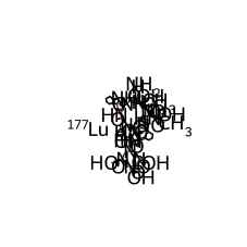 CC(O)C(NC(=O)C1CSSCC(NC(=O)C(Cc2ccccc2)NC(=O)CN2CCN(CC(=O)O)CCN(CC(=O)O)CCN(CC(=O)O)CC2)C(=O)NC(Cc2ccc(O)cc2)C(=O)NC(Cc2c[nH]c3ccccc23)C(=O)NC(CCCCN)C(=O)NC(C(C)O)C(=O)N1)C(=O)O.[177Lu]